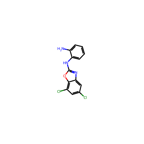 Nc1ccccc1Nc1nc2cc(Cl)cc(Cl)c2o1